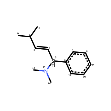 CC(C)C=C[SiH](c1ccccc1)N(C)C